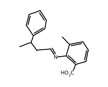 Cc1cccc(C(=O)O)c1N=CCC(C)c1ccccc1